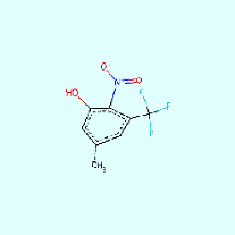 Cc1cc(O)c([N+](=O)[O-])c(C(F)(F)F)c1